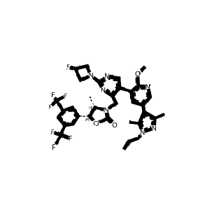 CCCn1nc(C)c(-c2cnc(OC)c(-c3cnc(N4CC(F)C4)nc3CN3C(=O)O[C@H](c4cc(C(F)(F)F)cc(C(F)(F)F)c4)[C@@H]3C)c2)c1C